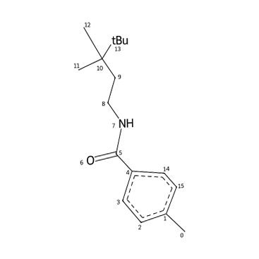 Cc1ccc(C(=O)NCCC(C)(C)C(C)(C)C)cc1